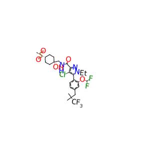 CCn1nc(C(=O)NC[C@]2(O)CC[C@@H](S(C)(=O)=O)CC2)c(Cl)c1-c1ccc(CC(C)(C)C(F)(F)F)cc1OC(F)F